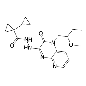 CCC(Cn1c(=O)c(NNC(=O)C2(C3CC3)CC2)nc2ncccc21)OC